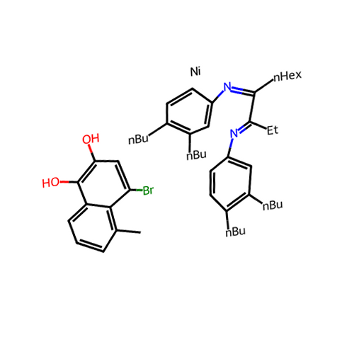 CCCCCCC(=Nc1ccc(CCCC)c(CCCC)c1)C(CC)=Nc1ccc(CCCC)c(CCCC)c1.Cc1cccc2c(O)c(O)cc(Br)c12.[Ni]